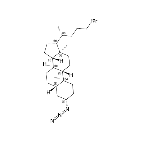 CC(C)CCC[C@@H](C)[C@H]1CC[C@H]2[C@@H]3CC[C@H]4C[C@@H](N=[N+]=[N-])CC[C@]4(C)[C@H]3CC[C@]12C